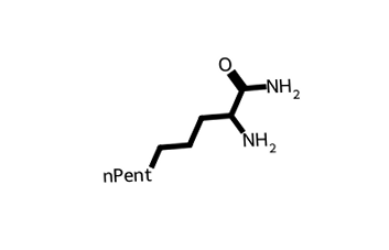 CCCCCCCCC(N)C(N)=O